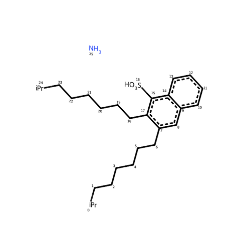 CC(C)CCCCCCc1cc2ccccc2c(S(=O)(=O)O)c1CCCCCCC(C)C.N